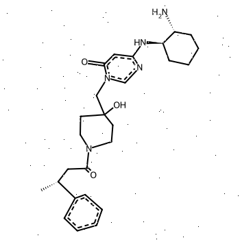 C[C@H](CC(=O)N1CCC(O)(Cn2cnc(N[C@@H]3CCCC[C@H]3N)cc2=O)CC1)c1ccccc1